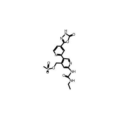 CCNC(=O)Nc1cc(COS(C)(=O)=O)c(-c2cc(-c3n[nH]c(=O)o3)ccn2)cn1